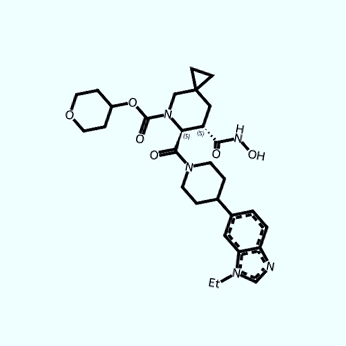 CCn1cnc2ccc(C3CCN(C(=O)[C@@H]4[C@@H](C(=O)NO)CC5(CC5)CN4C(=O)OC4CCOCC4)CC3)cc21